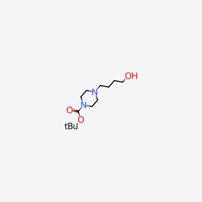 CC(C)(C)OC(=O)N1CCN(CCCCO)CC1